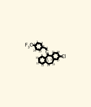 FC(F)(F)c1ccc(C=C=C2c3ccccc3CCc3cc(Cl)ccc32)cc1